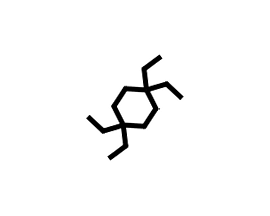 CCC1(CC)[CH]CC(CC)(CC)CC1